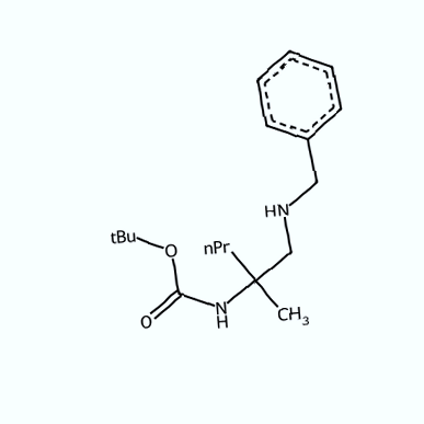 CCCC(C)(CNCc1ccccc1)NC(=O)OC(C)(C)C